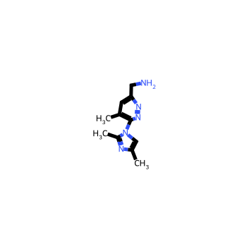 Cc1cn(-c2nnc(CN)cc2C)c(C)n1